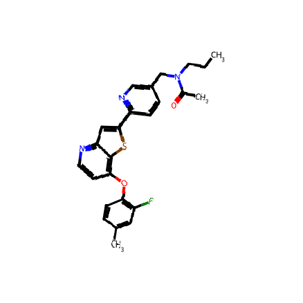 CCCN(Cc1ccc(-c2cc3nccc(Oc4ccc(C)cc4F)c3s2)nc1)C(C)=O